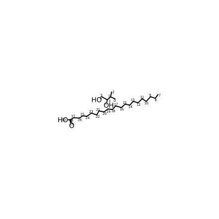 CC(C)C(O)CO.CCCCCCCCCCCCCCCCCCCCCC(=O)O